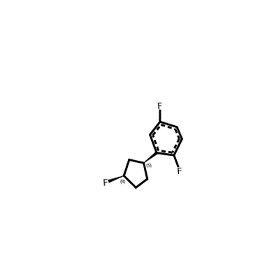 Fc1ccc(F)c([C@H]2CC[C@@H](F)C2)c1